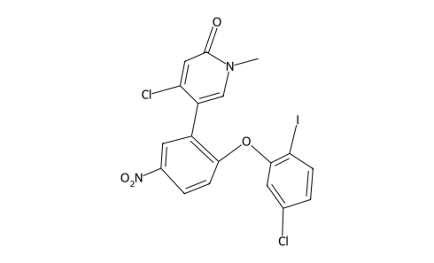 Cn1cc(-c2cc([N+](=O)[O-])ccc2Oc2cc(Cl)ccc2I)c(Cl)cc1=O